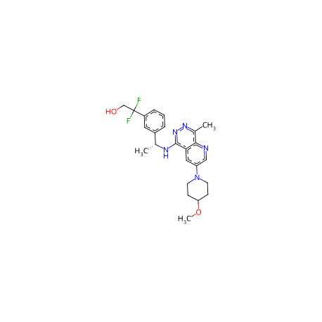 COC1CCN(c2cnc3c(C)nnc(N[C@H](C)c4cccc(C(F)(F)CO)c4)c3c2)CC1